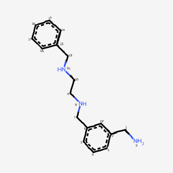 NCc1cccc(CNCCNCc2ccccc2)c1